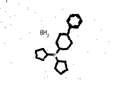 B.c1ccc(C2CCC(P(C3CCCC3)C3CCCC3)CC2)cc1